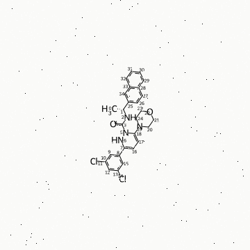 C[C@@H](NC(=O)N1NC(c2cc(Cl)cc(Cl)c2)=CC=C1N1CCOCC1)c1ccc2ccccc2c1